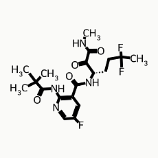 CNC(=O)C(=O)[C@H](CCC(C)(F)F)NC(=O)c1cc(F)cnc1NC(=O)C(C)(C)C